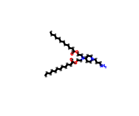 CCCCCCCCCCCC(=O)OCCN(CCOC(=O)CCCCCCCCCCC)C1CCN(CCCN)CC1